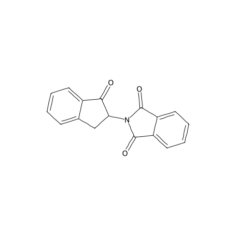 O=C1c2ccccc2CC1N1C(=O)c2ccccc2C1=O